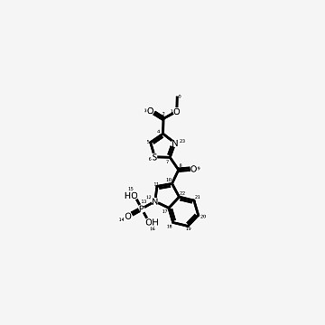 COC(=O)c1csc(C(=O)c2cn(P(=O)(O)O)c3ccccc23)n1